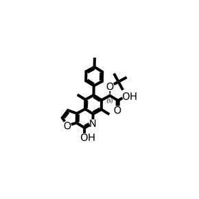 Cc1ccc(-c2c([C@H](OC(C)(C)C)C(=O)O)c(C)c3nc(O)c4occc4c3c2C)cc1